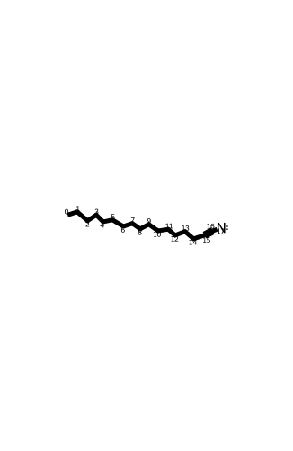 CCCCCCCCCCCCCCCC#C[N]